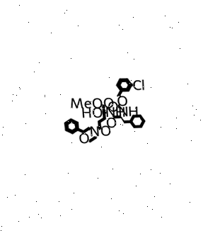 COC(=O)C(O)(CCC(=O)N1CCOC(c2ccccc2)C1)NC(=O)[C@H](CC1CCCCC1)NC(=O)OCc1cccc(Cl)c1